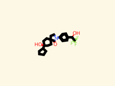 O=C1N(c2ccc([C@@H](O)C(F)(F)F)cc2)CCC12CCC(O)(C1CCCC1)CC2